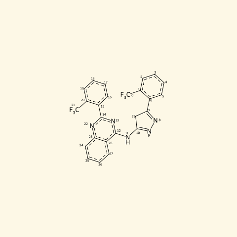 FC(F)(F)c1ccccc1C1=NN=C(Nc2nc(-c3ccccc3C(F)(F)F)nc3ccccc23)C1